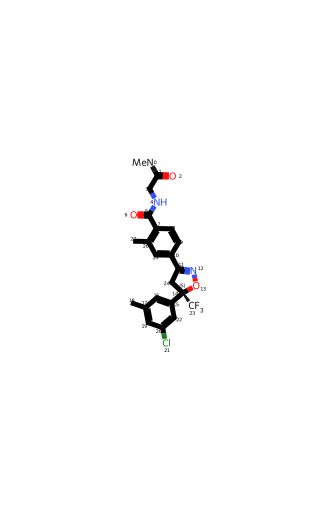 CNC(=O)CNC(=O)c1ccc(C2=NO[C@@](c3cc(C)cc(Cl)c3)(C(F)(F)F)C2)cc1C